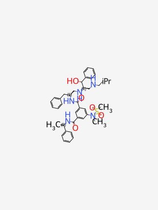 CC(C)CNC[C@@H](NC[C@H](Cc1ccccc1)NC(=O)c1cc(C(=O)N[C@H](C)c2ccccc2)cc(N(C)S(C)(=O)=O)c1)C(O)c1ccccc1